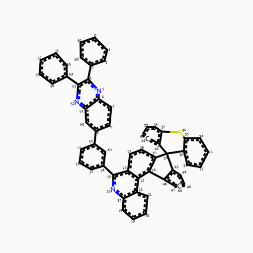 c1ccc(-c2nc3ccc(-c4cccc(-c5nc6ccccc6c6c7c(ccc56)C5(c6ccccc6Sc6ccccc65)c5ccccc5-7)c4)cc3nc2-c2ccccc2)cc1